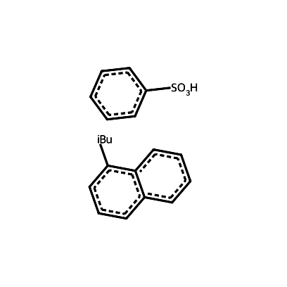 CCC(C)c1cccc2ccccc12.O=S(=O)(O)c1ccccc1